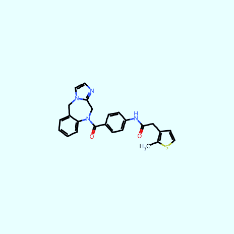 Cc1sccc1CC(=O)Nc1ccc(C(=O)N2Cc3nccn3Cc3ccccc32)cc1